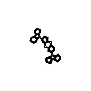 c1ccc2c(c1)c1ccccc1n2-c1ccc2c(c1)Oc1cc(-n3c4ccccc4c4ccccc43)ccc1O2